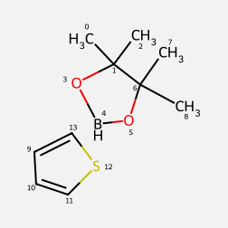 CC1(C)OBOC1(C)C.c1ccsc1